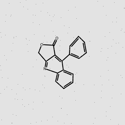 O=C1OCc2nc3ccccc3c(-c3ccccc3)c21